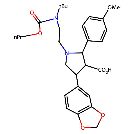 CCCCN(CCN1CC(c2ccc3c(c2)OCO3)C(C(=O)O)C1c1ccc(OC)cc1)C(=O)OCCC